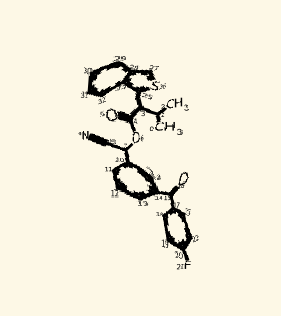 CC(C)C(C(=O)OC(C#N)c1cccc(C(=O)c2ccc(F)cc2)c1)c1scc2ccccc12